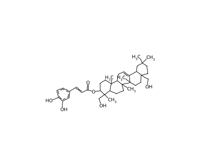 CC1(C)CCC2(CO)CCC3(C)C(=CCC4C5(C)CCC(OC(=O)/C=C/c6ccc(O)c(O)c6)C(C)(CO)C5CCC43C)C2C1